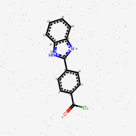 O=C(Cl)c1ccc(-c2nc3ccccc3[nH]2)cc1